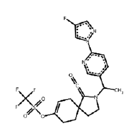 CC(c1ccc(-n2cc(F)cn2)nc1)N1CCC2(CC=C(OS(=O)(=O)C(F)(F)F)CC2)C1=C=O